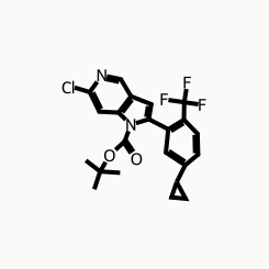 CC(C)(C)OC(=O)n1c(-c2cc(C3CC3)ccc2C(F)(F)F)cc2cnc(Cl)cc21